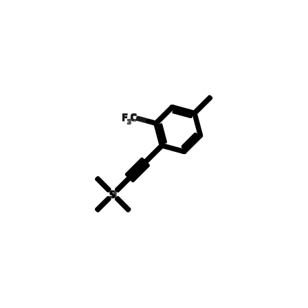 Cc1ccc(C#C[Si](C)(C)C)c(C(F)(F)F)c1